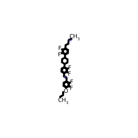 C/C=C/CCc1ccc(C2CCC(c3ccc(/C=C/c4ccc(OCCCC)c(F)c4F)c(F)c3F)CC2)c(F)c1F